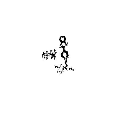 C[N+](C)(C)CCC[n+]1ccc(-c2nc3ccccc3s2)cc1.F[P-](F)(F)(F)(F)F.F[P-](F)(F)(F)(F)F